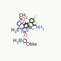 C=CC(=O)N1CCC(N(C)c2nc(OC[C@@H]3C[C@@H](OC)CN3C)nc3c(F)c(-c4ccc(F)c5sc(N)c(C#N)c45)ccc23)C1C